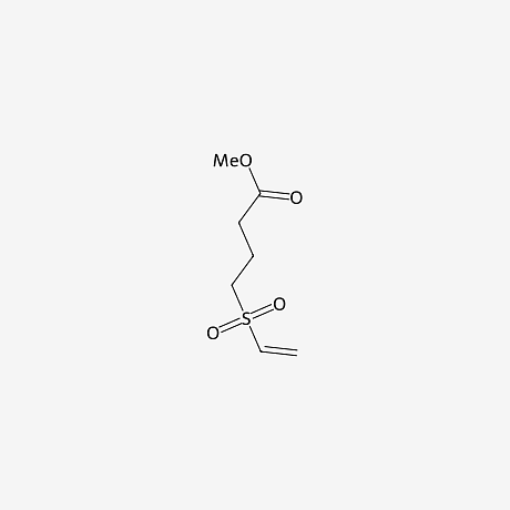 C=CS(=O)(=O)CCCC(=O)OC